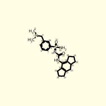 CN(C)Cc1cccc(S(N)(=O)=NC(=O)NC2=C3CCCC3CC3=C2CCC3)c1